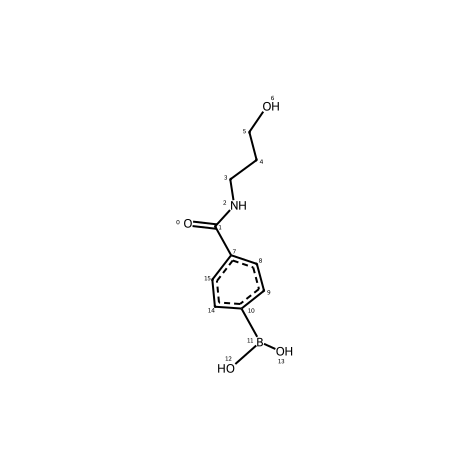 O=C(NCCCO)c1ccc(B(O)O)cc1